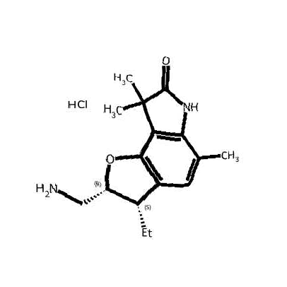 CC[C@H]1c2cc(C)c3c(c2O[C@H]1CN)C(C)(C)C(=O)N3.Cl